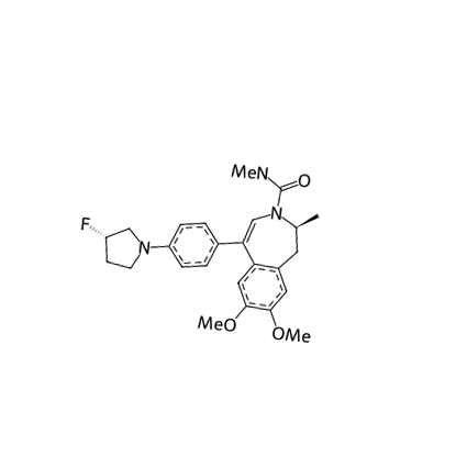 CNC(=O)N1C=C(c2ccc(N3CC[C@H](F)C3)cc2)c2cc(OC)c(OC)cc2C[C@@H]1C